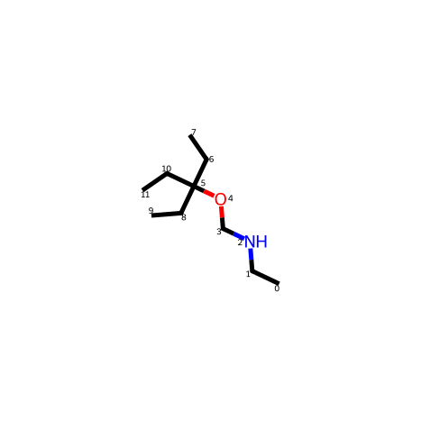 CCNCOC(CC)(CC)CC